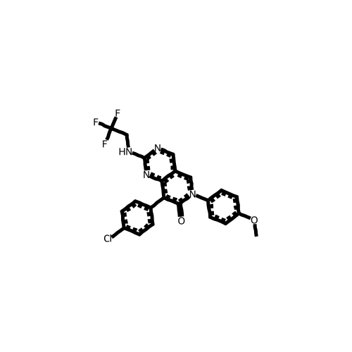 COc1ccc(-n2cc3cnc(NCC(F)(F)F)nc3c(-c3ccc(Cl)cc3)c2=O)cc1